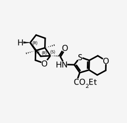 CCOC(=O)c1c(NC(=O)[C@]23C[C@H]4CC[C@]2(C)[C@@]4(C)CO3)sc2c1CCOC2